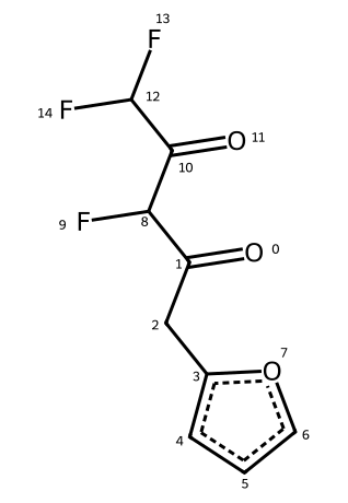 O=C(Cc1ccco1)C(F)C(=O)C(F)F